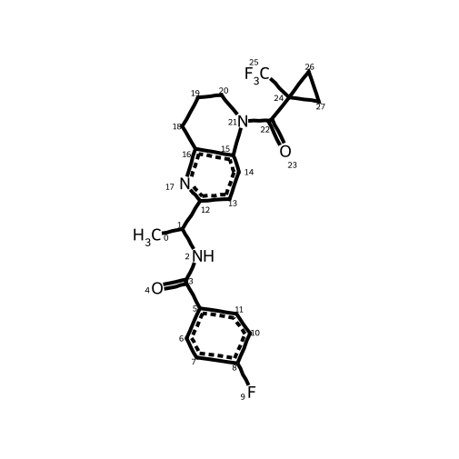 CC(NC(=O)c1ccc(F)cc1)c1ccc2c(n1)CCCN2C(=O)C1(C(F)(F)F)CC1